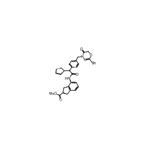 COC(=O)C1Cc2cccc(NC(=O)C(c3ccc(CN4N=C(C(C)C)OCC4=O)cc3)C3CCCC3)c2C1